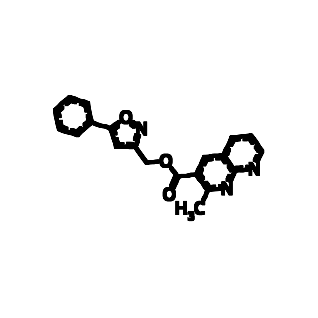 Cc1nc2ncccc2cc1C(=O)OCc1cc(-c2ccccc2)on1